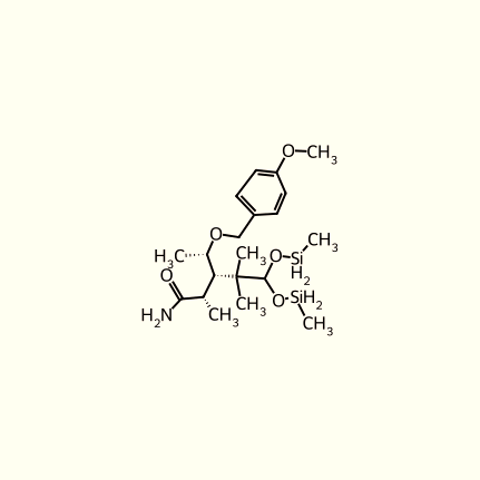 COc1ccc(CO[C@@H](C)[C@@H]([C@H](C)C(N)=O)C(C)(C)C(O[SiH2]C)O[SiH2]C)cc1